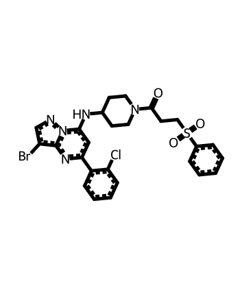 O=C(CCS(=O)(=O)c1ccccc1)N1CCC(Nc2cc(-c3ccccc3Cl)nc3c(Br)cnn23)CC1